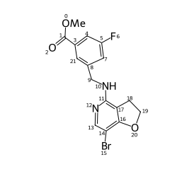 COC(=O)c1cc(F)cc(CNc2ncc(Br)c3c2CCO3)c1